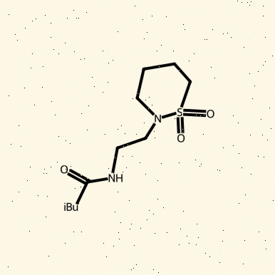 CCC(C)C(=O)NCCN1CCCCS1(=O)=O